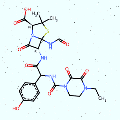 CCN1CCN(C(=O)NC(C(=O)N[C@@H]2C(=O)N3[C@@H](C(=O)O)C(C)(C)SC23NC=O)c2ccc(O)cc2)C(=O)C1=O